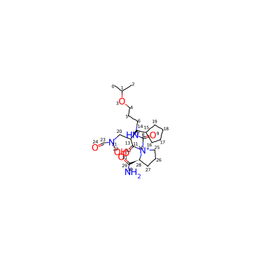 CC(C)OCCCNC(=O)[N+]1(C(=O)[C@H](CC2CCCC2)CN(O)C=O)CCC[C@H]1C(N)=O